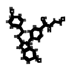 O=C(NCCCl)c1ccc(-n2c(SCc3ccc(Cl)cc3)nc3ccc(Cl)cc32)cc1